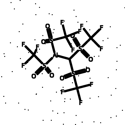 O=S(=O)([CH]([Al]([S](=O)(=O)C(F)(F)F)[S](=O)(=O)C(F)(F)F)S(=O)(=O)C(F)(F)F)C(F)(F)F